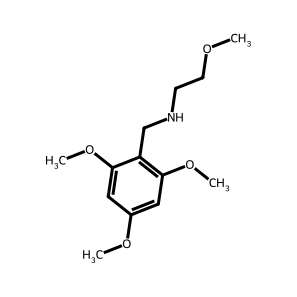 COCCNCc1c(OC)cc(OC)cc1OC